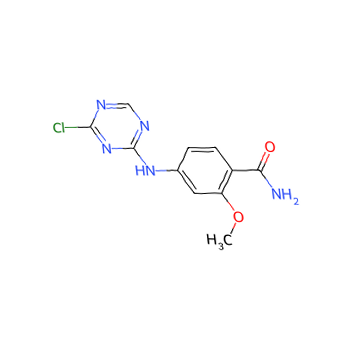 COc1cc(Nc2ncnc(Cl)n2)ccc1C(N)=O